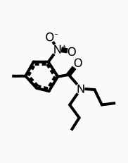 CCCN(CCC)C(=O)c1ccc(C)cc1[N+](=O)[O-]